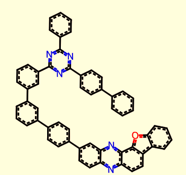 c1ccc(-c2ccc(-c3nc(-c4ccccc4)nc(-c4cccc(-c5cccc(-c6ccc(-c7ccc8nc9ccc%10c%11ccccc%11oc%10c9nc8c7)cc6)c5)c4)n3)cc2)cc1